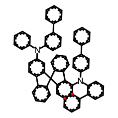 c1ccc(-c2ccc(N(c3ccccc3-c3ccccc3)c3cccc4c3-c3ccccc3C43c4ccccc4-c4ccc(N(c5ccccc5)c5cccc(-c6ccccc6)c5)cc43)cc2)cc1